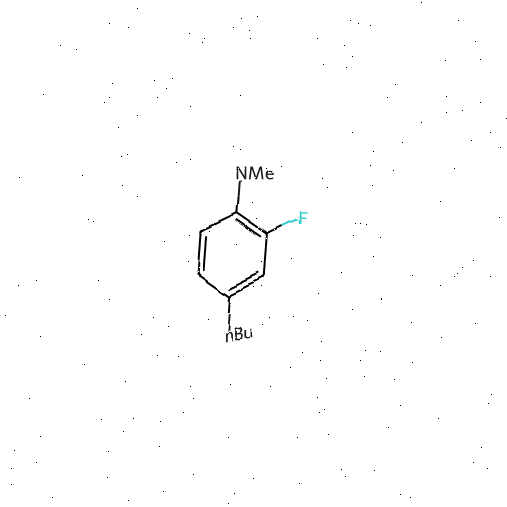 CCCCc1ccc(NC)c(F)c1